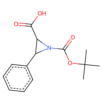 CC(C)(C)OC(=O)N1C(C(=O)O)C1c1ccccc1